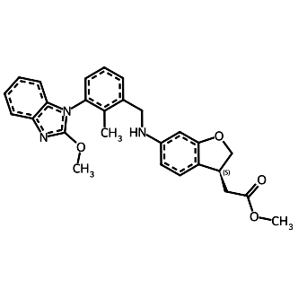 COC(=O)C[C@@H]1COc2cc(NCc3cccc(-n4c(OC)nc5ccccc54)c3C)ccc21